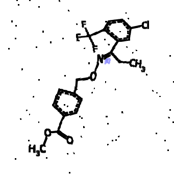 CC/C(=N\OCc1ccc(C(=O)OC)cc1)c1cc(Cl)ccc1C(F)(F)F